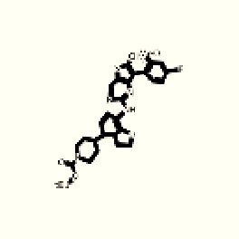 COc1cc(F)ccc1-c1c(C)sc2cnc(Nc3ccc(C4CCN(C(=O)OC(C)(C)C)CC4)c4c3OCC4)nc12